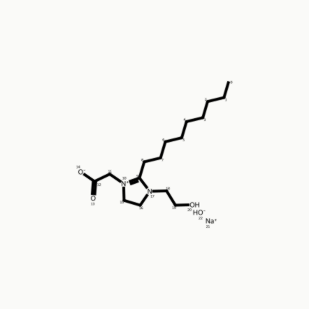 CCCCCCCCCC1=[N+](CC(=O)[O-])CCN1CCO.[Na+].[OH-]